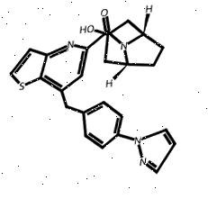 O=C(c1cc(Cc2ccc(-n3cccn3)cc2)c2sccc2n1)N1[C@@H]2CC[C@H]1CC(O)C2